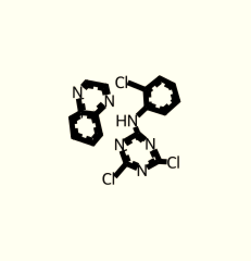 Clc1nc(Cl)nc(Nc2ccccc2Cl)n1.c1ccc2nccnc2c1